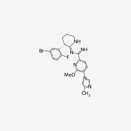 COc1nc(C(=N)/N=C2\NCCC[C@H]2c2cc(Br)ccc2F)ccc1-n1cnc(C)c1